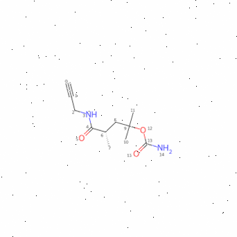 C#CCNC(=O)[C@@H](C)CC(C)(C)OC(N)=O